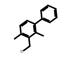 Cc1ccc(-c2ccccc2)c(C)c1CCl